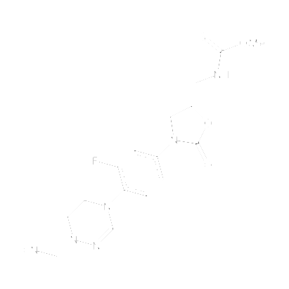 [C-]#[N+]CN1CCN(c2ccc(N3C[C@H](CNC(=S)OC)OC3=O)cc2F)C=N1